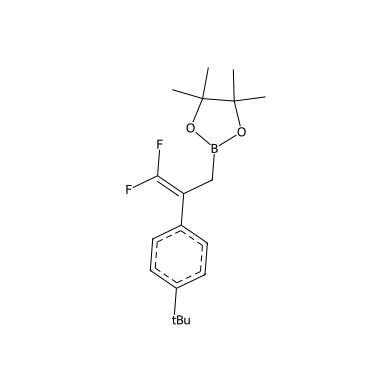 CC(C)(C)c1ccc(C(CB2OC(C)(C)C(C)(C)O2)=C(F)F)cc1